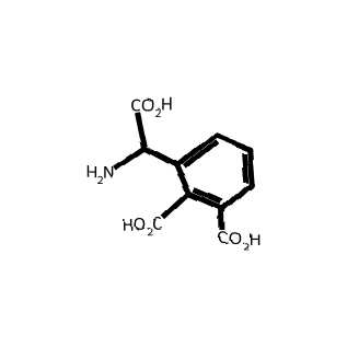 NC(C(=O)O)c1cccc(C(=O)O)c1C(=O)O